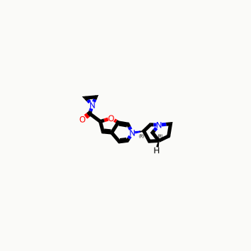 O=C(C1C=C2C=CN([C@@H]3C[C@H]4CCN(C4)C3)C=C2O1)N1CC1